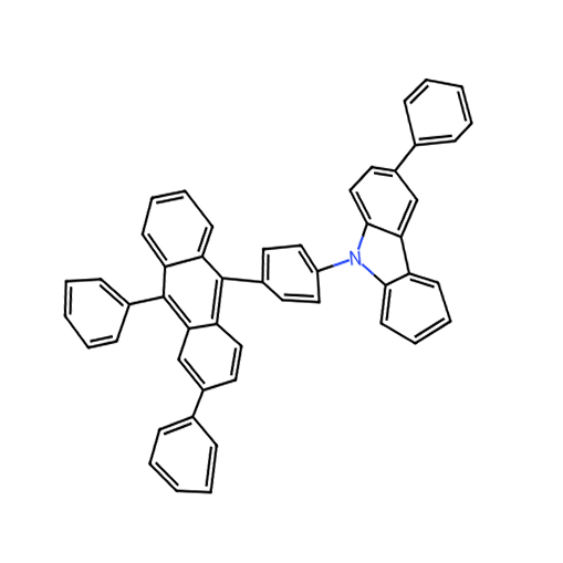 c1ccc(-c2ccc3c(-c4ccc(-n5c6ccccc6c6cc(-c7ccccc7)ccc65)cc4)c4ccccc4c(-c4ccccc4)c3c2)cc1